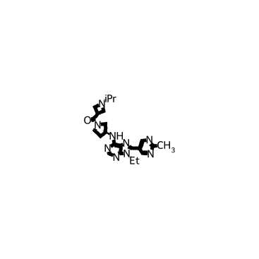 CCn1c(-c2cnc(C)nc2)nc2c(N[C@H]3CCN(C(=O)C4CN(C(C)C)C4)C3)ncnc21